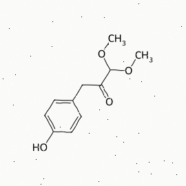 COC(OC)C(=O)Cc1ccc(O)cc1